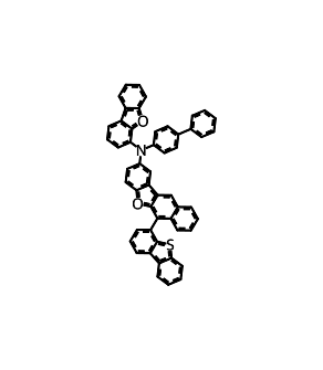 c1ccc(-c2ccc(N(c3ccc4oc5c(-c6cccc7c6sc6ccccc67)c6ccccc6cc5c4c3)c3cccc4c3oc3ccccc34)cc2)cc1